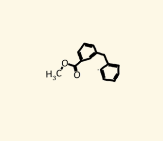 COC(=O)c1cccc(Cc2[c]cccc2)c1